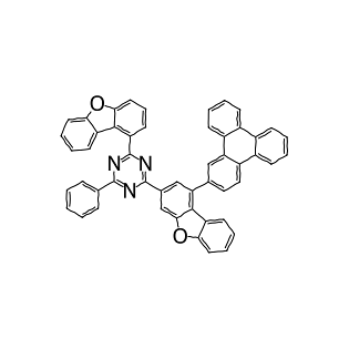 c1ccc(-c2nc(-c3cc(-c4ccc5c6ccccc6c6ccccc6c5c4)c4c(c3)oc3ccccc34)nc(-c3cccc4oc5ccccc5c34)n2)cc1